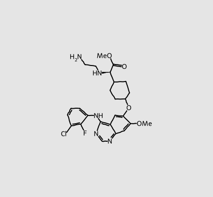 COC(=O)[C@H](NCCN)C1CCC(Oc2cc3c(Nc4cccc(Cl)c4F)ncnc3cc2OC)CC1